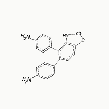 Nc1ccc(-c2ccc3c(c2-c2ccc(N)cc2)NOO3)cc1